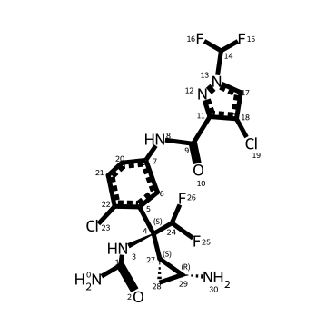 NC(=O)N[C@@](c1cc(NC(=O)c2nn(C(F)F)cc2Cl)ccc1Cl)(C(F)F)[C@H]1C[C@H]1N